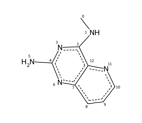 CNc1nc(N)nc2cccnc12